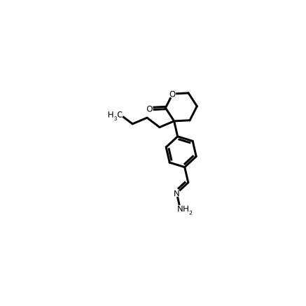 CCCCC1(c2ccc(C=NN)cc2)CCCOC1=O